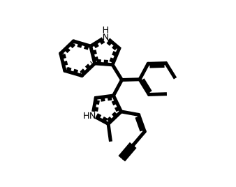 C#C/C=C\c1c(C(C(/C=C\C)=C/C)c2c[nH]c3ccccc23)c[nH]c1C